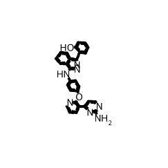 Nc1nccc(-c2cccnc2Oc2ccc(Nc3nnc(-c4ccccc4O)c4ccccc34)cc2)n1